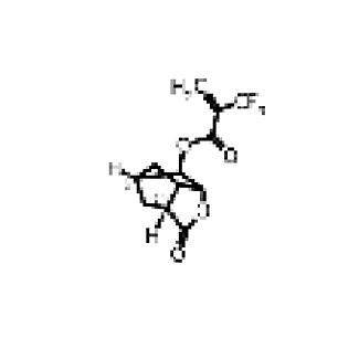 C=C(C(=O)OC1C2OC(=O)[C@@H]3C[C@@H]1CC23)C(F)(F)F